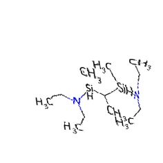 CCN(CC)[SiH](C)C(C)[SiH](C)N(CC)CC